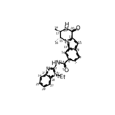 CCn1c(NC(=O)c2ccc3cc4n(c3c2)[C@H](C)[C@@H](C)NC4=O)nc2ccccc21